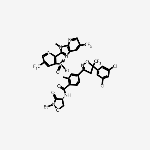 CCN1OC[C@@H](NC(=O)c2ccc(C3=NOC(c4cc(Cl)cc(Cl)c4)(C(F)(F)F)C3)cc2C)C1=O.CCS(=O)(=O)c1cc(C(F)(F)F)cnc1-c1nc2cc(C(F)(F)F)cnc2n1C